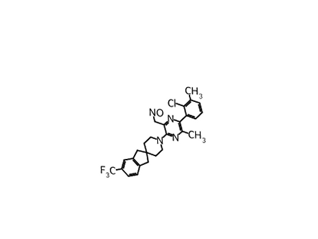 Cc1cccc(-c2nc(CN=O)c(N3CCC4(CC3)Cc3ccc(C(F)(F)F)cc3C4)nc2C)c1Cl